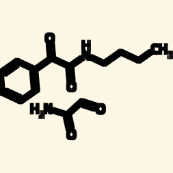 CCCCNC(=O)C(=O)c1ccccc1.NC(=O)C=O